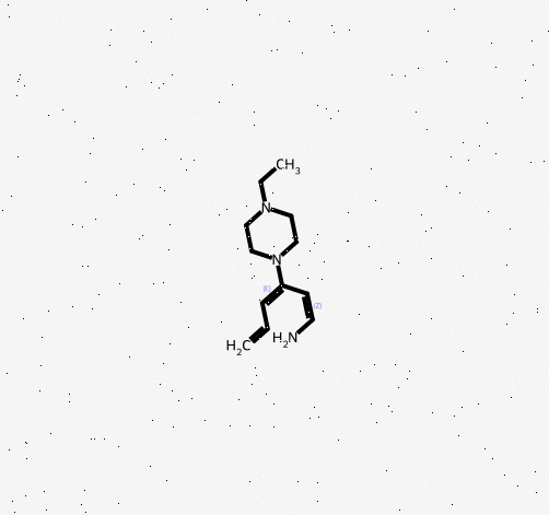 C=C/C=C(\C=C/N)N1CCN(CC)CC1